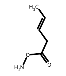 CC=CCC(=O)ON